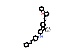 CC1(C)c2cc(/C=C/c3cccc4c3oc3ccccc34)ccc2-c2ccc(Nc3ccc(/C=C/c4ccccc4)cc3)cc21